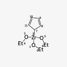 CC[O][Zr]([O]CC)([O]CC)[CH]1C=CC=C1